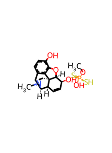 CN1CC[C@]23c4c5ccc(O)c4O[C@H]2[C@@H](O)C=C[C@H]3[C@H]1C5.COP(O)(=S)S